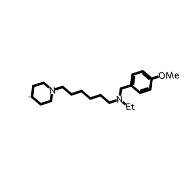 CCN(CCCCCCN1CC[CH]CC1)Cc1ccc(OC)cc1